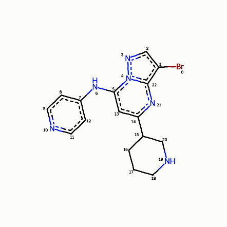 Brc1cnn2c(Nc3ccncc3)cc(C3CCCNC3)nc12